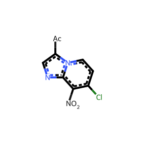 CC(=O)c1cnc2c([N+](=O)[O-])c(Cl)ccn12